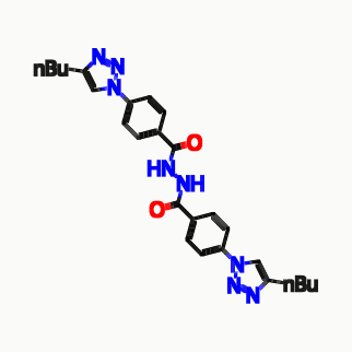 CCCCc1cn(-c2ccc(C(=O)NNC(=O)c3ccc(-n4cc(CCCC)nn4)cc3)cc2)nn1